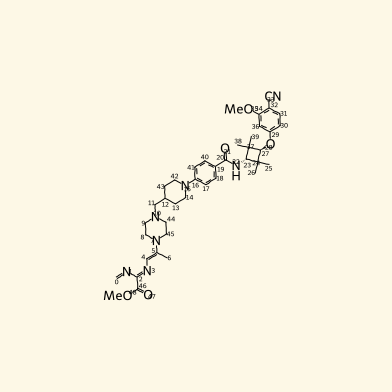 C=N/C(=N\C=C(/C)N1CCN(CC2CCN(c3ccc(C(=O)N[C@H]4C(C)(C)[C@H](Oc5ccc(C#N)c(OC)c5)C4(C)C)cc3)CC2)CC1)C(=O)OC